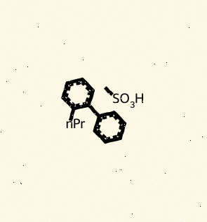 CCCc1ccccc1-c1ccccc1.CS(=O)(=O)O